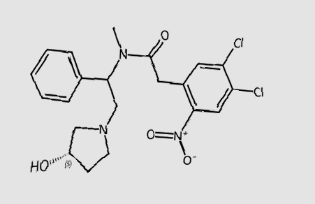 CN(C(=O)Cc1cc(Cl)c(Cl)cc1[N+](=O)[O-])C(CN1CC[C@H](O)C1)c1ccccc1